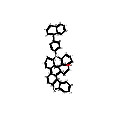 c1ccc(N(c2ccc(-c3cccc4ccccc34)cc2)c2cccc3c4ccc5oc6ccccc6c5c4c4ccccc4c23)cc1